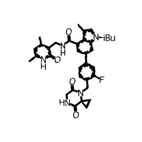 CC[C@H](C)n1cc(C)c2c(C(=O)NCc3c(C)cc(C)[nH]c3=O)cc(-c3ccc(CN4C(=O)CNC(=O)C45CC5)c(F)c3)cc21